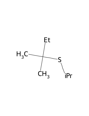 CCC(C)(C)SC(C)C